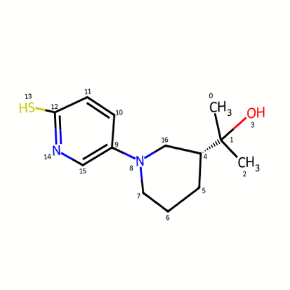 CC(C)(O)[C@@H]1CCCN(c2ccc(S)nc2)C1